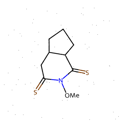 CON1C(=S)CC2CCCC2C1=S